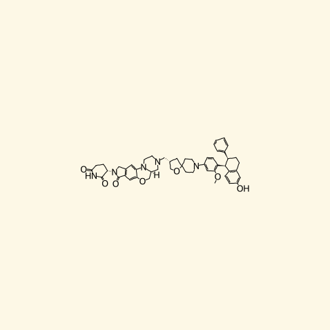 COc1cc(N2CCC3(CC2)C[C@@H](CN2CCN4c5cc6c(cc5OC[C@@H]4C2)C(=O)N([C@H]2CCC(=O)NC2=O)C6)CO3)ccc1[C@@H]1c2ccc(O)cc2CC[C@@H]1c1ccccc1